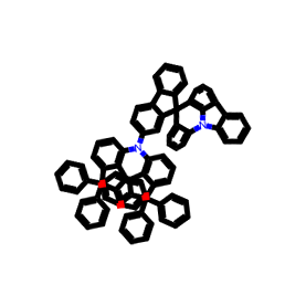 c1ccc(C2(c3ccccc3)c3ccccc3-c3c(N(c4ccc5c(c4)C4(c6ccccc6-5)c5ccccc5-n5c6ccccc6c6cccc4c65)c4cccc5c4-c4ccccc4C5(c4ccccc4)c4ccccc4)cccc32)cc1